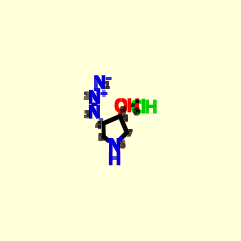 Cl.[N-]=[N+]=N[C@H]1CNC[C@@H]1O